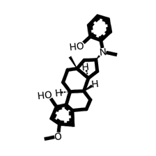 COc1cc(O)c2c(c1)CC[C@@H]1[C@@H]2CC[C@]2(C)C[C@H](N(C)c3ccccc3O)C[C@@H]12